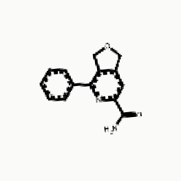 NC(=O)c1cc2c(c(-c3ccccc3)n1)COC2